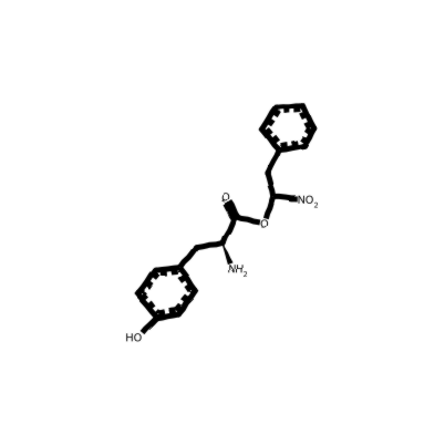 N[C@@H](Cc1ccc(O)cc1)C(=O)OC(Cc1ccccc1)[N+](=O)[O-]